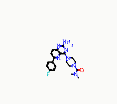 CN(C)C(=O)N1CCN(c2nc(N)nc3ccc(-c4ccc(F)cc4)nc23)CC1